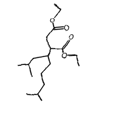 CCOC(=O)CC(C(=O)OCC)C(CCCC(C)C)CC(C)C